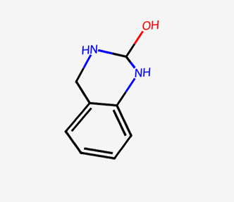 OC1NCc2ccccc2N1